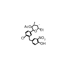 CC[C@H]1OC(c2ccc(Cl)c(Cc3ccc(O)c([N+](=O)[O-])c3)c2)[C@H](OC(C)=O)[C@@H](C)[C@@H]1C